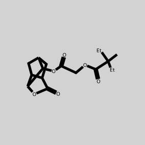 CCC(C)(CC)C(=O)OCC(=O)OC1C2CC3C(=O)OC1C3C2